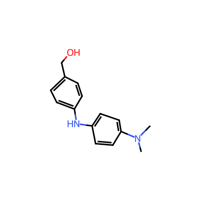 CN(C)c1ccc(Nc2ccc(CO)cc2)cc1